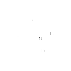 CCCN(CC)C(=O)Cl